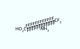 O=C(O)C(F)(F)C(F)(F)C(F)(F)C(F)(F)C(F)(F)C(F)(F)C(F)(F)C(F)(F)C(F)(F)C(F)(F)C(F)(F)C(F)(F)C(F)(F)F.[AlH3]